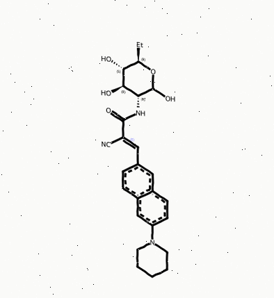 CC[C@H]1OC(O)[C@H](NC(=O)/C(C#N)=C/c2ccc3cc(N4CCCCC4)ccc3c2)[C@@H](O)[C@@H]1O